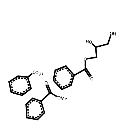 COC(=O)c1ccccc1.O=C(O)c1ccccc1.O=C(OCC(O)CO)c1ccccc1